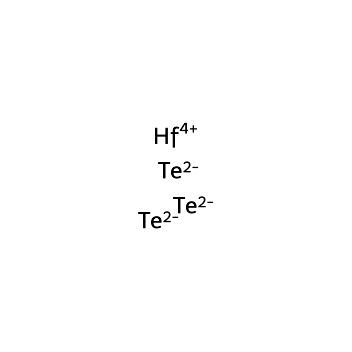 [Hf+4].[Te-2].[Te-2].[Te-2]